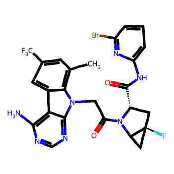 Cc1cc(C(F)(F)F)cc2c3c(N)ncnc3n(CC(=O)N3C4C[C@@]4(F)C[C@H]3C(=O)Nc3cccc(Br)n3)c12